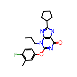 CCCn1c(Oc2ccc(F)c(C)c2)nc(=O)c2c1N=C(C1CCCC1)[N]2